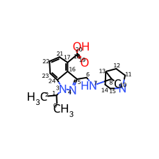 CC(C)n1nc(CNC2CN3CCC2CC3)c2c(C(=O)O)cccc21